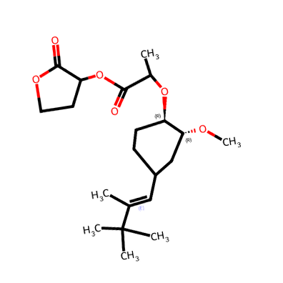 CO[C@@H]1CC(/C=C(\C)C(C)(C)C)CC[C@H]1OC(C)C(=O)OC1CCOC1=O